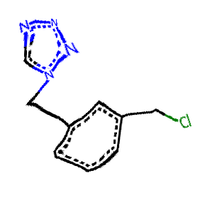 ClCc1cccc(Cn2cnnn2)c1